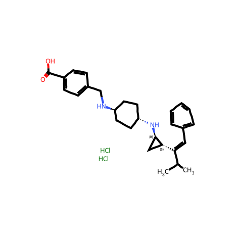 CC(C)C(=Cc1ccccc1)[C@@H]1C[C@H]1N[C@H]1CC[C@H](NCc2ccc(C(=O)O)cc2)CC1.Cl.Cl